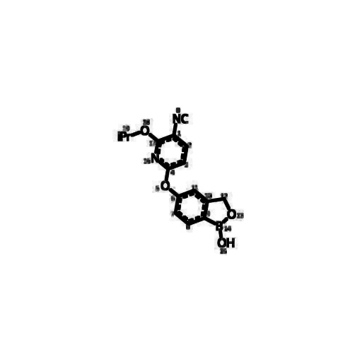 [C-]#[N+]c1ccc(Oc2ccc3c(c2)COB3O)nc1OC(C)C